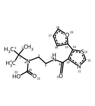 CC(C)(C)N(CCNC(=O)c1ncsc1-c1ccco1)C(=O)O